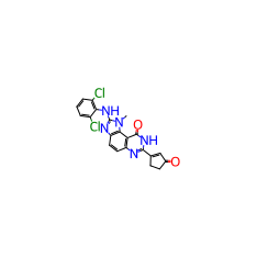 Cn1c(Nc2c(Cl)cccc2Cl)nc2ccc3nc(C4=CC(=O)CC4)[nH]c(=O)c3c21